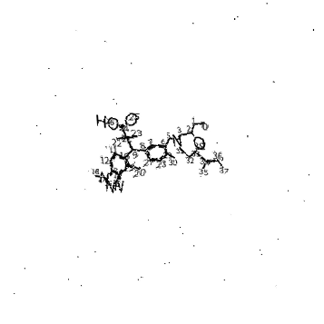 CCC1CN(Cc2cc(C(c3ccc4c(nnn4C)c3C)C(C)(C)C(=O)O)ccc2C)CCC(C(C)CC)O1